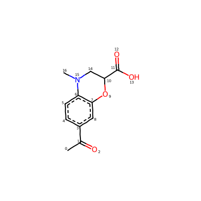 CC(=O)c1ccc2c(c1)OC(C(=O)O)CN2C